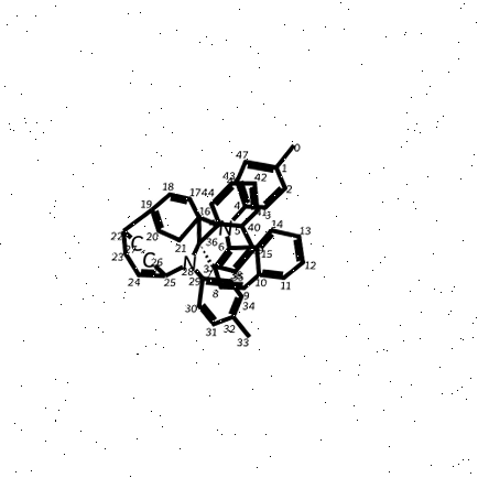 Cc1ccc(N(c2cccc3ccccc23)C23C=CC(=CC2)C2CC=C(CC2)N(c2ccc(C)cc2)[C@@]32CC=CC3C=CC=CC32)cc1